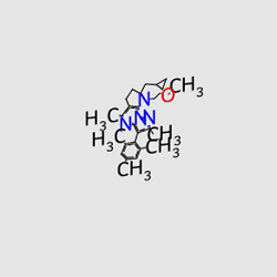 COCCN1c2c(c(C)nc3c(-c4c(C)cc(C)cc4C)c(C)nn23)CCC1CC1CC1